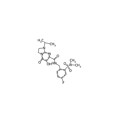 CC(C)N1CCn2c1nc(C(=O)NCc1ccc(F)cc1S(=O)(=O)N(C)C)c(O)c2=O